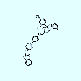 Clc1ccc(C2(Cn3ccnc3)OCC(COc3ccc(N4CCN(Cc5nc6ccccc6s5)CC4)cc3)O2)c(Cl)c1